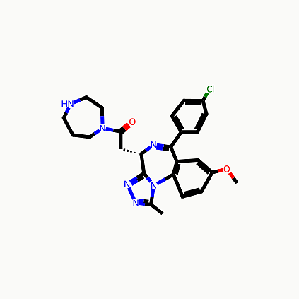 COc1ccc2c(c1)C(c1ccc(Cl)cc1)=N[C@@H](CC(=O)N1CCCNCC1)c1nnc(C)n1-2